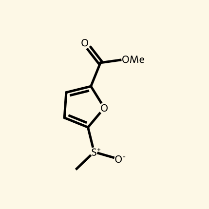 COC(=O)c1ccc([S+](C)[O-])o1